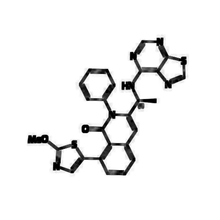 COc1ncc(-c2cccc3cc([C@H](C)Nc4ncnc5scnc45)n(-c4ccccc4)c(=O)c23)s1